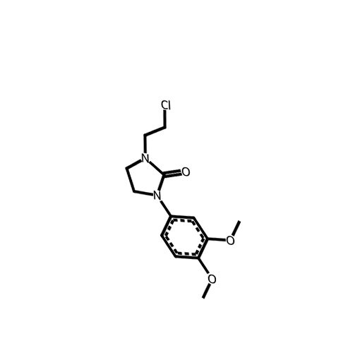 COc1ccc(N2CCN(CCCl)C2=O)cc1OC